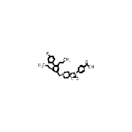 CCCc1cc(CN2CCC3(CC2)CN(c2ccc(C(=O)O)cc2)C(=O)O3)cc(CCC)c1-c1ccc(F)cc1